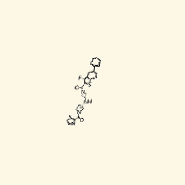 O=C(c1nccs1)N1CC[C@H](NC2CN(C(=O)c3sc4ccc(-c5ccccc5)cc4c3F)C2)C1